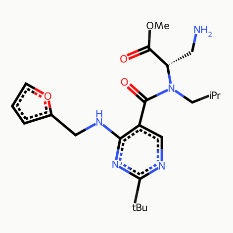 COC(=O)[C@H](CN)N(CC(C)C)C(=O)c1cnc(C(C)(C)C)nc1NCc1ccco1